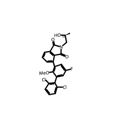 COc1c(-c2cccc3c2C(=O)N(C[C@H](C)O)C3=O)cc(F)cc1-c1c(Cl)cccc1Cl